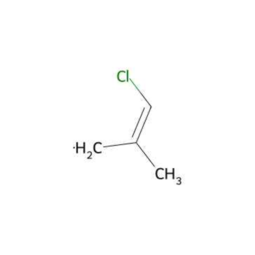 [CH2]/C(C)=C\Cl